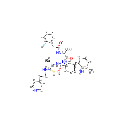 CCC(C)[C@H](NC(=O)Cc1ccccc1F)C(=O)N[C@]1(C(=O)NC(C(=S)NCCc2ccncc2)[C@@H](C)CC)CCc2[nH]c3c(C(F)(F)F)cccc3c2C1